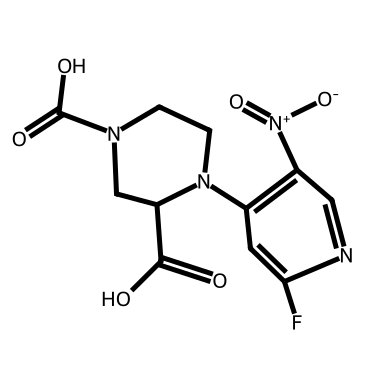 O=C(O)C1CN(C(=O)O)CCN1c1cc(F)ncc1[N+](=O)[O-]